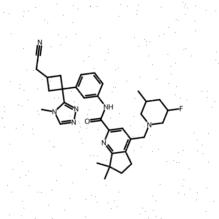 CC1CC(F)CN(Cc2cc(C(=O)Nc3cccc(C4(c5nncn5C)CC(CC#N)C4)c3)nc3c2CCC3(C)C)C1